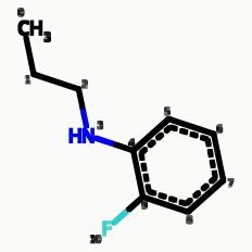 CCCNc1ccccc1F